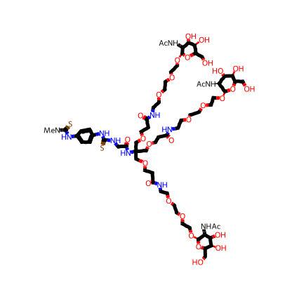 CNC(=S)Nc1ccc(NC(=S)NCC(=O)NC(COCCC(=O)NCCOCCOCCO[C@@H]2OC(CO)[C@H](O)C(O)C2NC(C)=O)(COCCC(=O)NCCOCCOCCO[C@@H]2OC(CO)[C@H](O)C(O)C2NC(C)=O)COCCC(=O)NCCOCCOCCO[C@@H]2OC(CO)[C@H](O)C(O)[C@H]2NC(C)=O)cc1